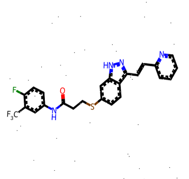 O=C(CCSc1ccc2c(C=Cc3ccccn3)n[nH]c2c1)Nc1ccc(F)c(C(F)(F)F)c1